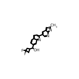 Cn1cc2cc(-c3ccc4ccc(C(O)C5CC(F)(F)C5)cc4n3)cnc2n1